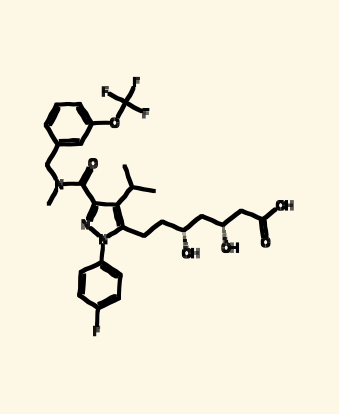 CC(C)c1c(C(=O)N(C)Cc2cccc(OC(F)(F)F)c2)nn(-c2ccc(F)cc2)c1CC[C@@H](O)C[C@@H](O)CC(=O)O